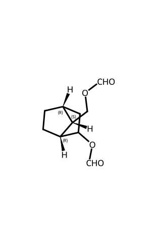 O=COC[C@H]1[C@@H]2CC[C@H]1C(OC=O)C2